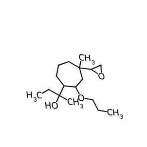 CCCOC1CC(C)(C2CO2)CCCC1C(C)(O)CC